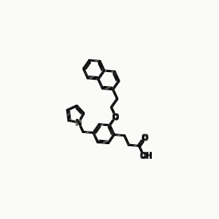 O=C(O)CCc1ccc(Cn2cccc2)cc1OCCc1ccc2ccccc2c1